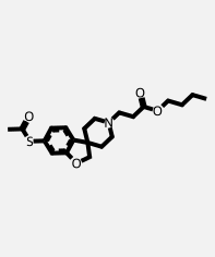 CCCCOC(=O)CCN1CCC2(CC1)COc1cc(SC(C)=O)ccc12